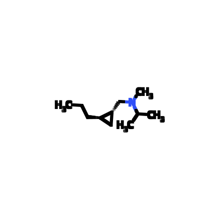 CCC[C@@H]1C[C@H]1CN(C)C(C)C